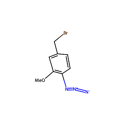 COc1cc(CBr)ccc1N=[N+]=[N-]